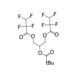 CC(C)(C)C(=O)OC(COC(=O)C(F)(F)C(F)F)COC(=O)C(F)(F)C(F)F